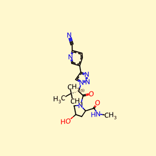 CNC(=O)C1CC(O)CN1C(=O)[C@@H](n1cc(-c2ccc(C#N)nc2)nn1)C(C)(C)C